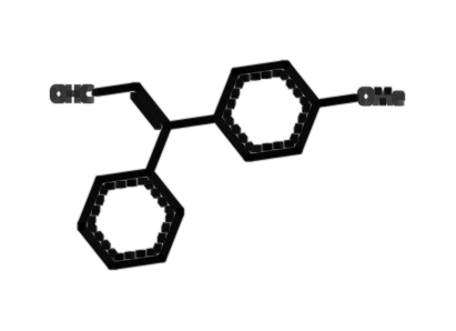 COc1ccc(C(=CC=O)c2ccccc2)cc1